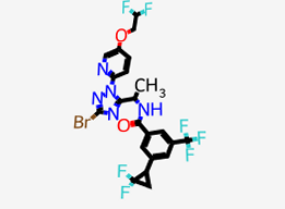 CC(NC(=O)c1cc(C2CC2(F)F)cc(C(F)(F)F)c1)c1nc(Br)nn1-c1ccc(OCC(F)F)cn1